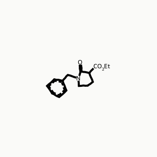 CCOC(=O)C1CCCN(Cc2ccccc2)C1=O